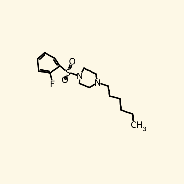 CCCCCCN1CCN(S(=O)(=O)c2ccccc2F)CC1